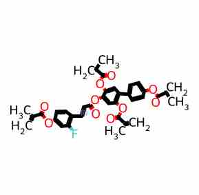 C=C(C)C(=O)Oc1ccc(-c2cc(OC(=O)C(=C)C)c(OC(=O)/C=C/c3ccc(OC(=O)C(=C)C)cc3F)cc2OC(=O)C(=C)C)cc1